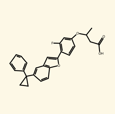 CC(CC(=O)O)Oc1ccc(-c2cc3cc(C4(c5ccccc5)CC4)ccc3o2)c(F)c1